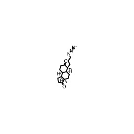 C[C@]1(CCCN=[N+]=[N-])C(=O)CC[C@@H]2[C@@H]1CC[C@]1(C)C(=O)CC[C@@H]21